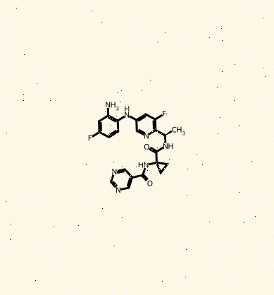 C[C@@H](NC(=O)C1(NC(=O)c2cncnc2)CC1)c1ncc(Nc2ccc(F)cc2N)cc1F